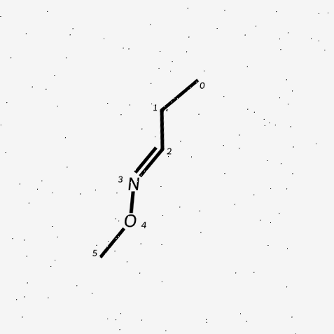 C[CH]/C=N/OC